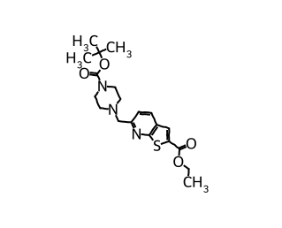 CCOC(=O)c1cc2ccc(CN3CCN(C(=O)OC(C)(C)C)CC3)nc2s1